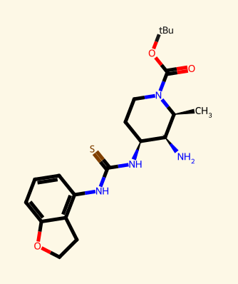 C[C@H]1[C@@H](N)[C@@H](NC(=S)Nc2cccc3c2CCO3)CCN1C(=O)OC(C)(C)C